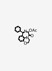 CC(=O)OC1N=C(c2ccccc2)c2cccc3c2N(CCO3)C1=O